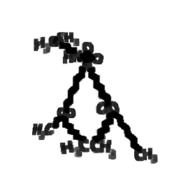 CCCCCCCCC(CCC)OC(=O)CCCCCCCN(CCCCCCCC(=O)OC(CCCCCCCC)CCCCCCCC)c1c(NCCCCN(C)C)c(=O)c1=O